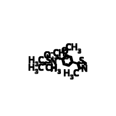 COc1cc(-c2scnc2C)ccc1[C@H](C)N[S+]([O-])C(C)(C)C